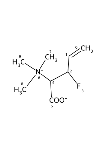 C=CC(F)C(C(=O)[O-])[N+](C)(C)C